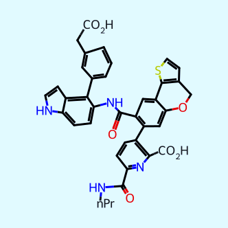 CCCNC(=O)c1ccc(-c2cc3c(cc2C(=O)Nc2ccc4[nH]ccc4c2-c2cccc(CC(=O)O)c2)-c2sccc2CO3)c(C(=O)O)n1